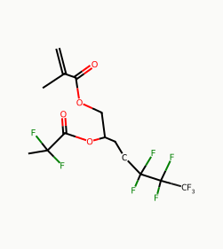 C=C(C)C(=O)OCC(CCC(F)(F)C(F)(F)C(F)(F)F)OC(=O)C(C)(F)F